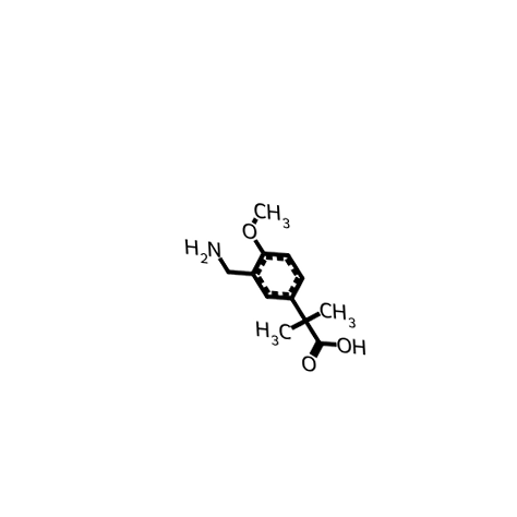 COc1ccc(C(C)(C)C(=O)O)cc1CN